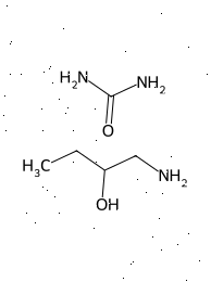 CCC(O)CN.NC(N)=O